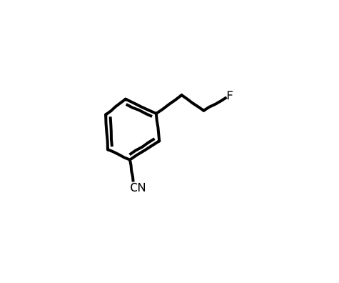 N#Cc1cccc(CCF)c1